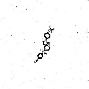 N#Cc1ccc(S(=O)(=O)N2CCOC3(CCN(c4ccc(OC(F)(F)F)cc4)C3=O)C2)cc1